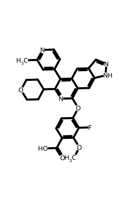 COc1c(C(=O)O)ccc(Oc2nc(C3CCOCC3)c(-c3ccnc(C)c3)c3cc4cn[nH]c4cc23)c1F